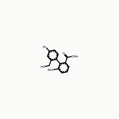 COC(=O)c1cccc(SC)c1-c1ccc(C(C)C)cc1CO